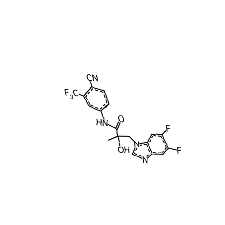 CC(O)(Cn1cnc2cc(F)c(F)cc21)C(=O)Nc1ccc(C#N)c(C(F)(F)F)c1